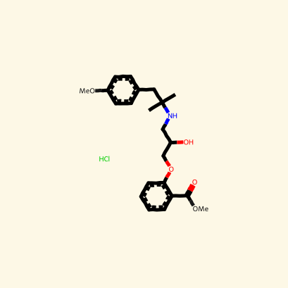 COC(=O)c1ccccc1OCC(O)CNC(C)(C)Cc1ccc(OC)cc1.Cl